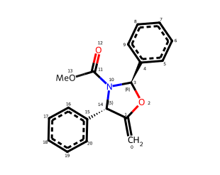 C=C1O[C@H](c2ccccc2)N(C(=O)OC)[C@H]1c1ccccc1